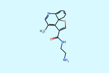 CC1=C2C(C(=O)NCCN)=CSC23CC=CC=C3N=C1